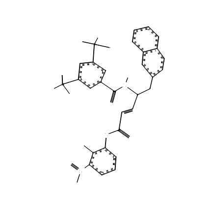 Cc1c(NC(=O)C=CC(Cc2ccc3ccccc3c2)N(C)C(=O)c2cc(C(F)(F)F)cc(C(F)(F)F)c2)cccc1[N+](=O)[O-]